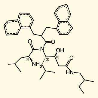 CCC(C)CNC(=O)C[C@H](O)[C@H](CC(C)C)N(C(=O)C(Cc1cccc2ccccc12)Cc1cccc2ccccc12)C(=O)[C@@H](N)CC(C)C